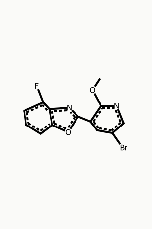 COc1ncc(Br)cc1-c1nc2c(F)cccc2o1